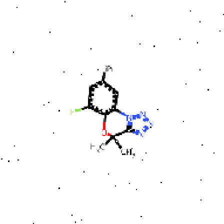 CC(C)c1cc(F)c2c(c1)-n1nnnc1C(C)(C)O2